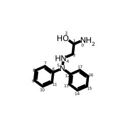 NC(O)CNN(c1ccccc1)c1ccccc1